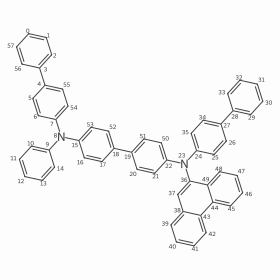 c1ccc(-c2ccc(N(c3ccccc3)c3ccc(-c4ccc(N(c5ccc(-c6ccccc6)cc5)c5cc6ccccc6c6ccccc56)cc4)cc3)cc2)cc1